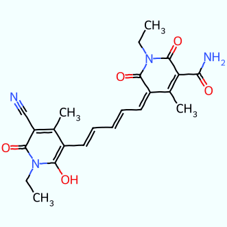 CCN1C(=O)C(C(N)=O)=C(C)/C(=C/C=CC=Cc2c(C)c(C#N)c(=O)n(CC)c2O)C1=O